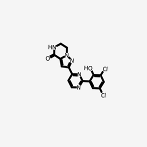 O=C1NCCn2nc(-c3ccnc(-c4cc(Cl)cc(Cl)c4O)n3)cc21